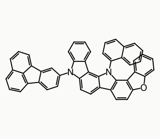 c1ccc2c(-n3c4c(ccc5oc6ccccc6c54)c4ccc5c(c6ccccc6n5-c5ccc6c(c5)-c5cccc7cccc-6c57)c43)cccc2c1